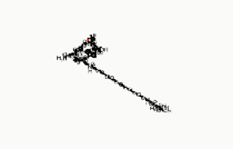 CC[C@@]1(O)C(=O)OCc2c1cc1n(c2=O)Cc2c-1nc1cc(F)c(C)c3c1c2[C@@H](NC(=O)OCc1ccc(NC(=O)[C@H](CCCNC(N)=O)NC(=O)[C@@H](NC(=O)[C@H](CCCCNC(=O)CCOCCOCCOCCOCCOCCOCCOCCOCCOCCOCCOCCOCCNC(=O)NC[C@H](O)[C@@H](O)[C@H](O)[C@H](O)CO)NC(=O)OCC2c4ccccc4-c4ccccc42)C(C)C)cc1)CC3